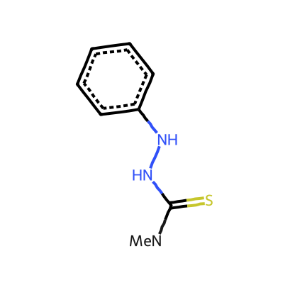 CNC(=S)NNc1ccccc1